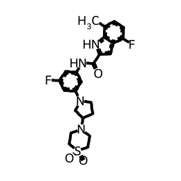 Cc1ccc(F)c2cc(C(=O)Nc3cc(F)cc(N4CCC(N5CCS(=O)(=O)CC5)C4)c3)[nH]c12